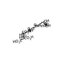 O=C(O)CCC(NC(=O)NC(CCCCNC(=O)CCOCCC(=O)NCCCCCC(CO)COP(=O)(O)O)C(=O)O)C(=O)O